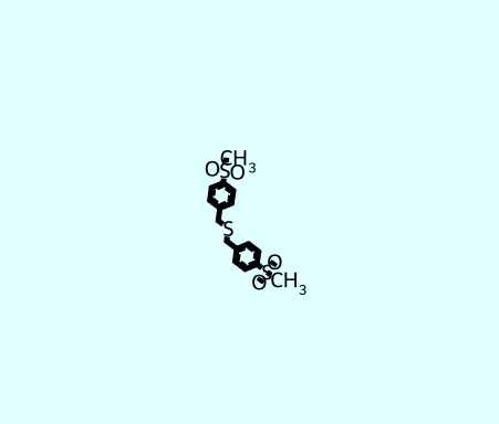 CS(=O)(=O)c1ccc(CSCc2ccc(S(C)(=O)=O)cc2)cc1